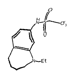 CCN1CCCc2ccc(NS(=O)(=O)C(F)(F)F)cc21